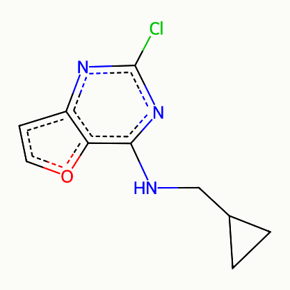 Clc1nc(NCC2CC2)c2occc2n1